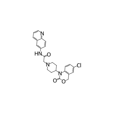 O=C(CN1CCC(N2C(=O)OCc3cc(Cl)ccc32)CC1)Nc1ccc2ncccc2c1